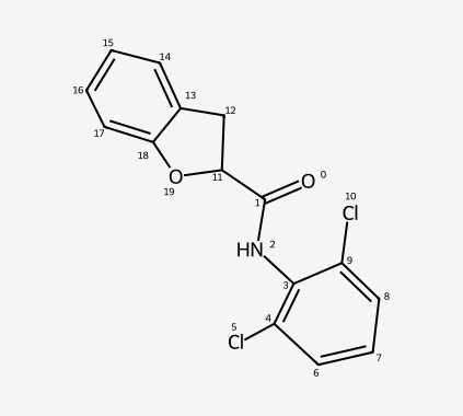 O=C(Nc1c(Cl)cccc1Cl)C1Cc2ccccc2O1